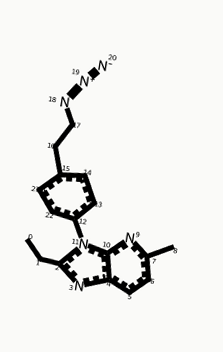 CCc1nc2ccc(C)nc2n1-c1ccc(CCN=[N+]=[N-])cc1